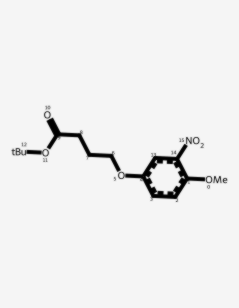 COc1ccc(OCCCC(=O)OC(C)(C)C)cc1[N+](=O)[O-]